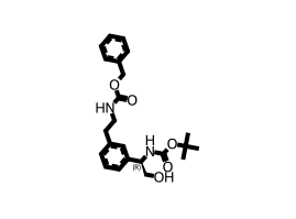 CC(C)(C)OC(=O)N[C@@H](CO)c1cccc(CCNC(=O)OCc2ccccc2)c1